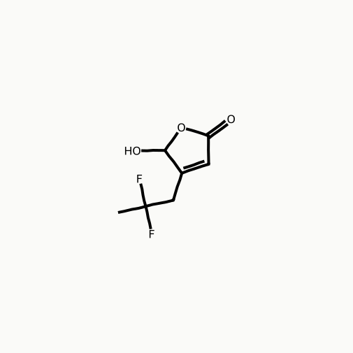 CC(F)(F)CC1=CC(=O)OC1O